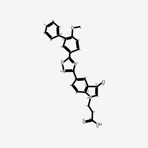 COc1ccc(-c2nc(-c3ccc4c(c3)c(Cl)cn4CCC(=O)O)no2)cc1-c1ccccc1